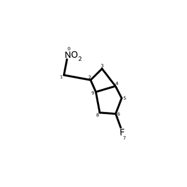 O=[N+]([O-])CC1CC2CC(F)CC21